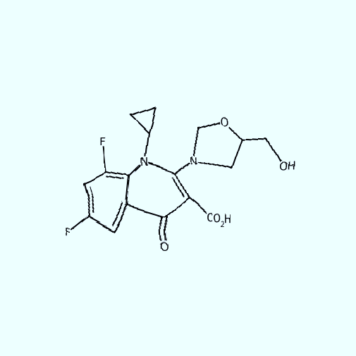 O=C(O)c1c(N2COC(CO)C2)n(C2CC2)c2c(F)cc(F)cc2c1=O